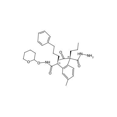 CCC[C@@](C(C)=O)(C(=O)NN)c1ccc(C)cc1[C@H](CCCc1ccccc1)C(=O)NOC1CCCCO1